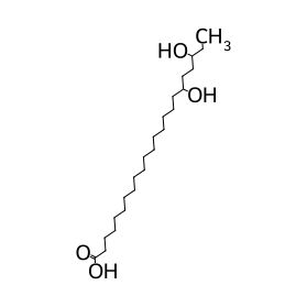 CCC(O)CCC(O)CCCCCCCCCCCCCCCCC(=O)O